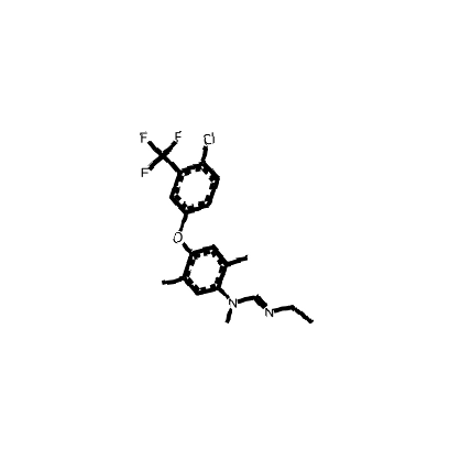 CCN=CN(C)c1cc(C)c(Oc2ccc(Cl)c(C(F)(F)F)c2)cc1C